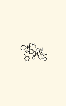 CN(c1ccc2c(c1)C(O)N(C1CCC(=O)NC1=O)C2=O)[C@H]1CCCC[C@@H]1NCc1ccccc1